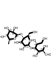 C[C@@H]1O[C@H](O[C@H]2[C@H](O)[C@@H](O)[C@H](O[C@H]([C@H](O)[C@@H](O)C=O)[C@H](O)CO)O[C@@H]2CO)[C@H](O)[C@H](O)[C@H]1O